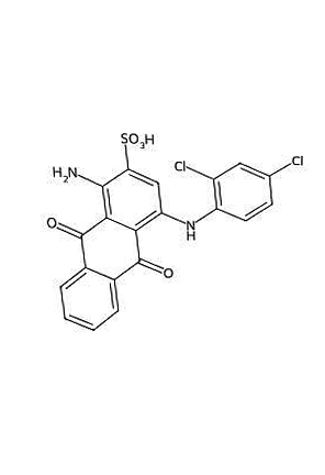 Nc1c(S(=O)(=O)O)cc(Nc2ccc(Cl)cc2Cl)c2c1C(=O)c1ccccc1C2=O